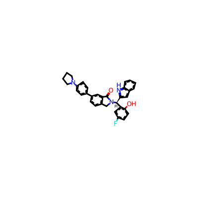 O=C1c2cc(-c3ccc(N4CCCC4)cc3)ccc2CN1[C@@H](c1cc2ccccc2[nH]1)c1cc(F)ccc1O